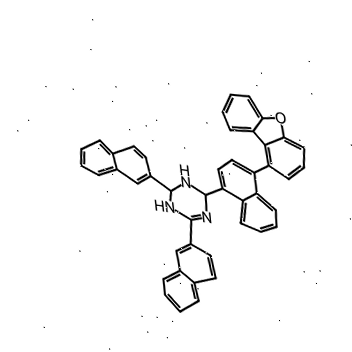 c1ccc2cc(C3=NC(c4ccc(-c5cccc6oc7ccccc7c56)c5ccccc45)NC(c4ccc5ccccc5c4)N3)ccc2c1